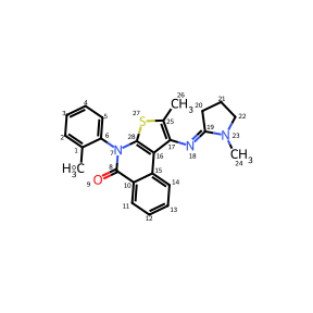 Cc1ccccc1-n1c(=O)c2ccccc2c2c(N=C3CCCN3C)c(C)sc21